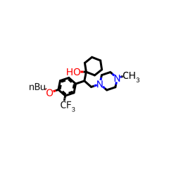 CCCCOc1ccc(C(CN2CCN(C)CC2)C2(O)CCCCC2)cc1C(F)(F)F